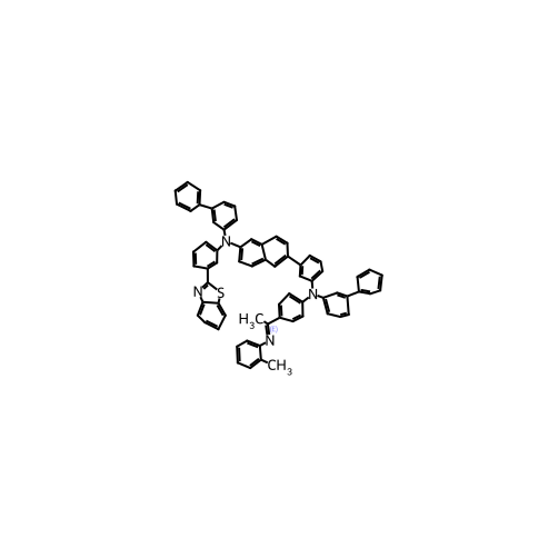 C/C(=N\c1ccccc1C)c1ccc(N(c2cccc(-c3ccccc3)c2)c2cccc(-c3ccc4cc(N(c5cccc(-c6ccccc6)c5)c5cccc(-c6nc7ccccc7s6)c5)ccc4c3)c2)cc1